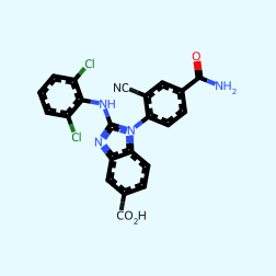 N#Cc1cc(C(N)=O)ccc1-n1c(Nc2c(Cl)cccc2Cl)nc2cc(C(=O)O)ccc21